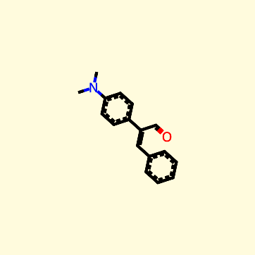 CN(C)c1ccc(C(C=O)=Cc2ccccc2)cc1